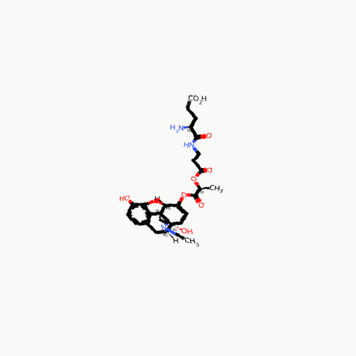 C[C@H](OC(=O)CCNC(=O)[C@@H](N)CCC(=O)O)C(=O)OC1=CC[C@@]2(O)[C@H]3Cc4ccc(O)c5c4[C@@]2(CCN3C)[C@H]1O5